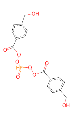 O=C(OO[PH](=O)OOC(=O)c1ccc(CO)cc1)c1ccc(CO)cc1